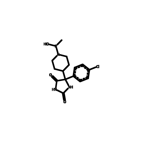 CB(O)N1CCC(C2(c3ccc(Cl)cc3)NC(=O)NC2=O)CC1